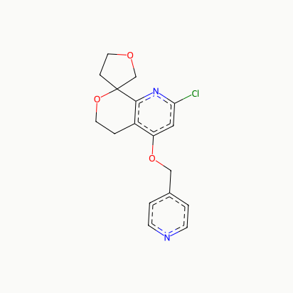 Clc1cc(OCc2ccncc2)c2c(n1)C1(CCOC1)OCC2